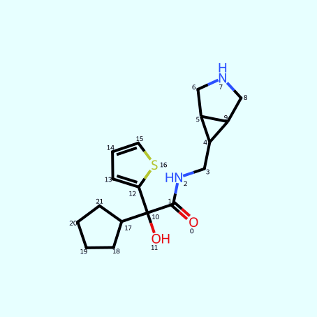 O=C(NCC1C2CNCC21)C(O)(c1cccs1)C1CCCC1